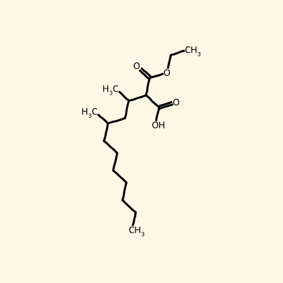 CCCCCCCC(C)CC(C)C(C(=O)O)C(=O)OCC